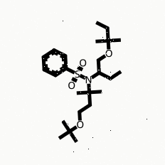 CCC(COC(C)(C)CC)N(C(C)(C)CCOC(C)(C)C)S(=O)(=O)c1ccccc1